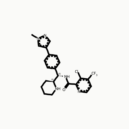 Cn1cc(-c2ccc([C@H](NC(=O)c3nccc(C(F)(F)F)c3Cl)[C@@H]3CCCCN3)cc2)cn1